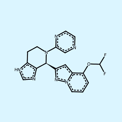 FC(F)Oc1cccn2nc([C@H]3c4nc[nH]c4CCN3c3cnccn3)cc12